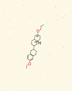 CCCO[C@@H]1CC[C@@H]2CC(C3CCc4cc(OCC)ccc4C3)CCC2C1